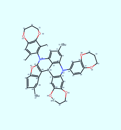 Cc1cc2c(c(C)c1N1c3cc(C(C)(C)C)cc4c3B(c3cc5c(cc3N4c3ccc4c(c3)OCCCO4)OCCCO5)c3c1oc1ccc(C(C)(C)C)cc31)OCCCO2